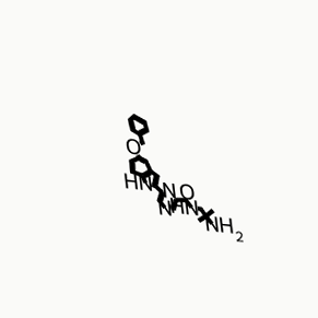 CC(C)(N)CNC(=O)c1cncc(-c2cc3cc(OCc4ccccc4)ccc3[nH]2)n1